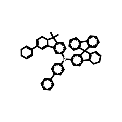 CC1(C)c2ccc(N(c3ccc(-c4ccccc4)cc3)c3ccc4c(c3)C3(C5=C4CCC=C5)c4ccccc4-c4ccccc43)cc2C2=CC(C3=CCCC=C3)=CCC21